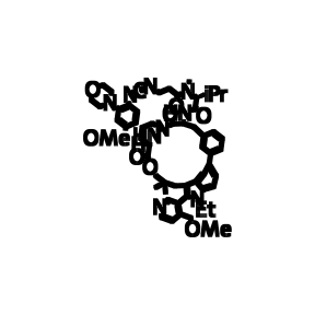 CCn1c(-c2cnccc2COC)c2c3cc(ccc31)-c1cccc(c1)C[C@H](NC(=O)[C@H](C(C)C)N(C)C(=O)CCN=C=Nc1ccc(OC)cc1N1CCOCC1)C(=O)N1CCC[C@H](N1)C(=O)OCC(C)(C)C2